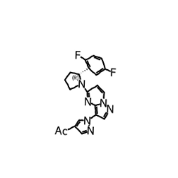 CC(=O)c1cnn(-c2cnn3ccc(N4CCC[C@@H]4c4cc(F)ccc4F)nc23)c1